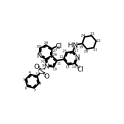 O=S(=O)(c1ccccc1)n1cc(-c2cc(Cl)nc(NC3CCCCC3)c2)c2c(Cl)ccnc21